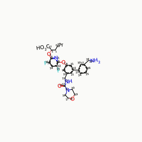 CC(C)C[C@@H](Oc1nc(Oc2cc(CNC(=O)N3CCOCC3)cc(-c3cccc(CN)c3)c2)c(F)cc1F)C(=O)O